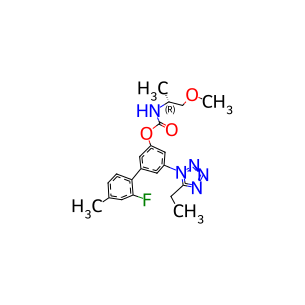 CCc1nnnn1-c1cc(OC(=O)N[C@H](C)COC)cc(-c2ccc(C)cc2F)c1